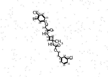 CC1(NC(=O)OCCc2cccc(Cl)c2)C=C(NC(=O)COc2ccc(Cl)c(F)c2)C1